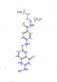 CC(C)Nc1nc(=O)c2nc(CNc3ccc(C(=O)N[C@H](CCC(=O)O)C(=O)O)cc3)cnc2[nH]1